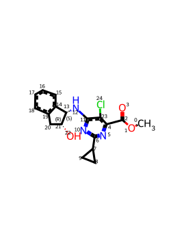 COC(=O)c1nc(C2CC2)nc(N[C@H]2c3ccccc3C[C@H]2O)c1Cl